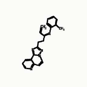 C=C/C(CCc1nc2c3cccnc3ccn2n1)=N\c1ccccc1C